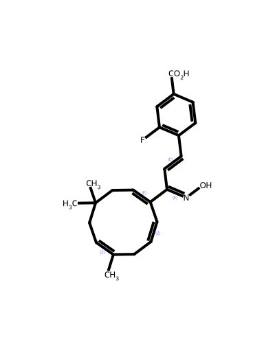 C/C1=C/CC(C)(C)C/C=C(C(/C=C/c2ccc(C(=O)O)cc2F)=N/O)\C=C/C1